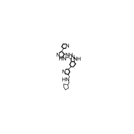 c1cncc(-c2cncc3c2NC(c2n[nH]c4ccc(-c5cncc(CNCC6CCCC6)c5)cc24)N3)c1